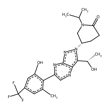 Cc1cc(C(F)(F)F)cc(O)c1-c1cnc2c([C@H](C)O)n([C@H]3CCC(=O)N(C(C)C)C3)nc2n1